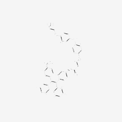 CC=CSc1ccc(Sc2ccc(SC=CC(=O)Oc3ccc(C(=C(c4ccccc4)c4ccc(OC(C)=O)cc4)c4ccccc4)cc3)cc2)cc1